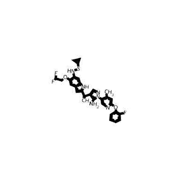 C=C(c1cc2cc(OCC(F)F)c(NSC3CC3)cc2[nH]1)c1cnn(-c2cnc(Oc3ccccc3F)cc2C)c1N